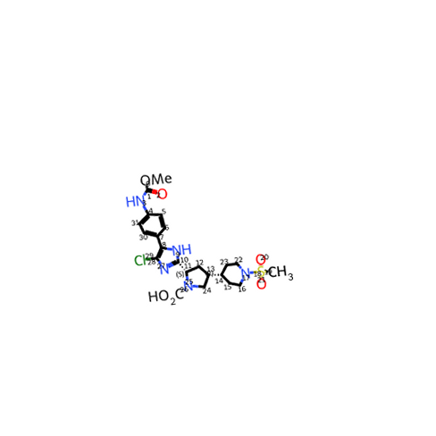 COC(=O)Nc1ccc(-c2[nH]c([C@@H]3C[C@H](C4CCN(S(C)(=O)=O)CC4)CN3C(=O)O)nc2Cl)cc1